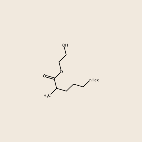 CCCCCCCCCC(C)C(=O)OCCO